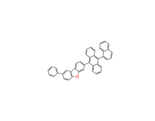 c1ccc(-c2ccc3oc4cc(-c5c6ccccc6c(-c6cccc7ccccc67)c6ccccc56)ccc4c3c2)cc1